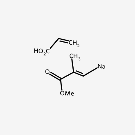 C=CC(=O)O.COC(=O)C(C)=[CH][Na]